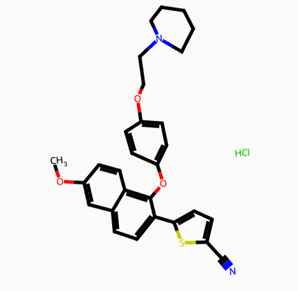 COc1ccc2c(Oc3ccc(OCCN4CCCCC4)cc3)c(-c3ccc(C#N)s3)ccc2c1.Cl